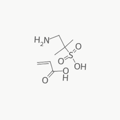 C=CC(=O)O.CC(C)(CN)S(=O)(=O)O